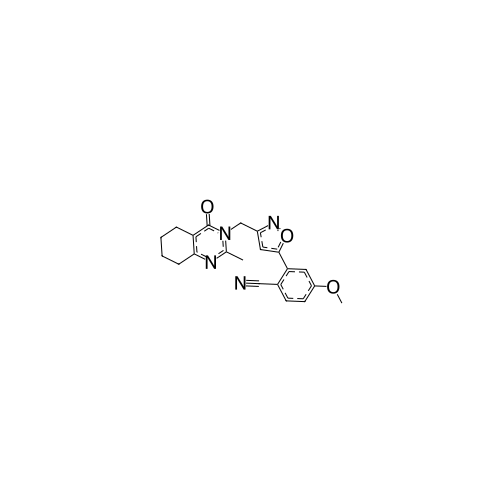 COc1ccc(C#N)c(-c2cc(Cn3c(C)nc4c(c3=O)CCCC4)no2)c1